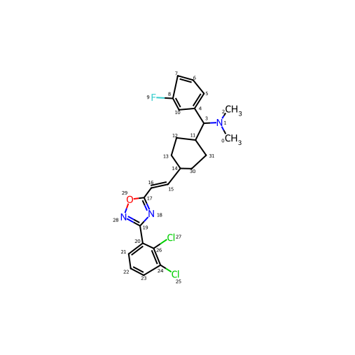 CN(C)C(c1cccc(F)c1)C1CCC(C=Cc2nc(-c3cccc(Cl)c3Cl)no2)CC1